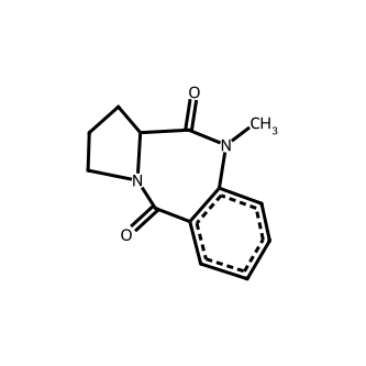 CN1C(=O)C2CCCN2C(=O)c2ccccc21